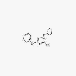 Cc1nc(OC2=CC=CCC2)nc(Oc2ccccc2)n1